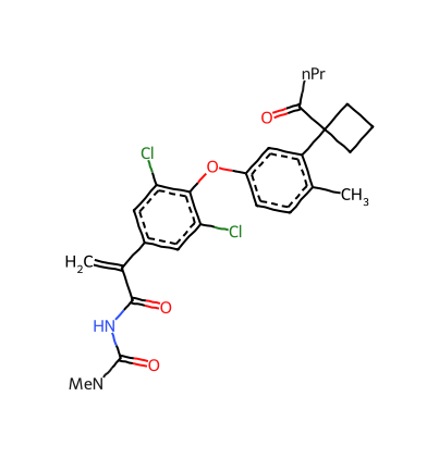 C=C(C(=O)NC(=O)NC)c1cc(Cl)c(Oc2ccc(C)c(C3(C(=O)CCC)CCC3)c2)c(Cl)c1